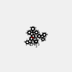 CC1(C)c2ccccc2-c2cccc(-c3ccccc3N(c3ccc4c(c3)C3(CCCC3)c3ccccc3-4)c3ccc4c(c3)C(c3ccccc3)(c3ccccc3)c3ccccc3-4)c21